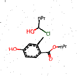 CCCC(O)Cl.CCCOC(=O)c1ccc(O)cc1C